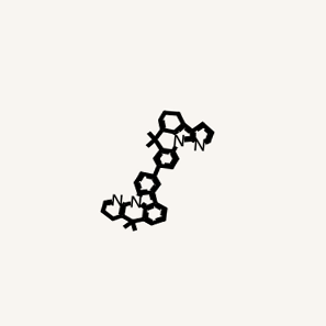 CC1(C)C2=CCCc3c2n(c2ncccc32)-c2ccc(-c3ccc4c(c3)c3cccc5c3n4C3=C(CCC=N3)C5(C)C)cc21